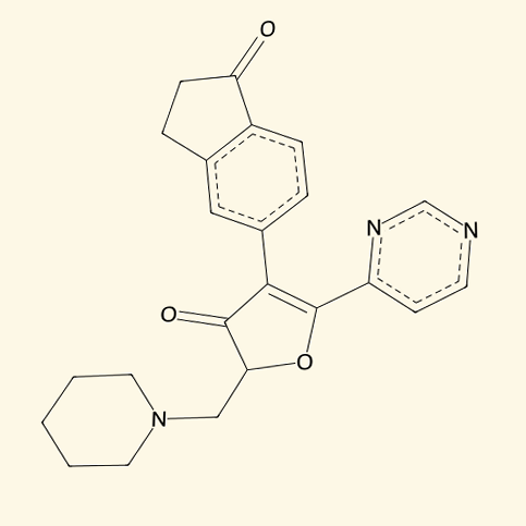 O=C1CCc2cc(C3=C(c4ccncn4)OC(CN4CCCCC4)C3=O)ccc21